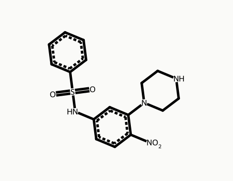 O=[N+]([O-])c1ccc(NS(=O)(=O)c2ccccc2)cc1N1CCNCC1